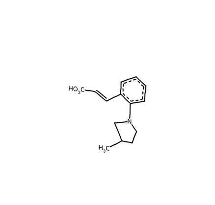 CC1CCN(c2ccccc2C=CC(=O)O)C1